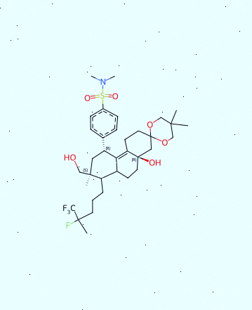 CN(C)S(=O)(=O)c1ccc([C@H]2C[C@](C)(CO)C(CCCC(C)(F)C(F)(F)F)C3CC[C@@]4(O)CC5(CCC4=C32)OCC(C)(C)CO5)cc1